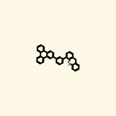 c1cc(-c2ccc3c4ccccc4c4ccccc4c3c2)cc(-c2cccc3c2Sc2ccccc2C3)c1